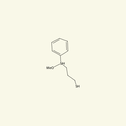 CO[SiH](CCCS)c1ccccc1